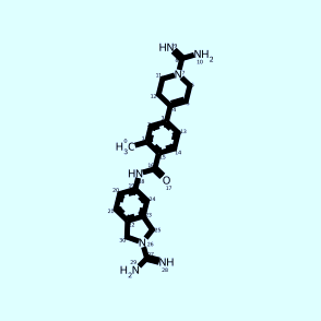 Cc1cc(C2=CCN(C(=N)N)CC2)ccc1C(=O)Nc1ccc2c(c1)CN(C(=N)N)C2